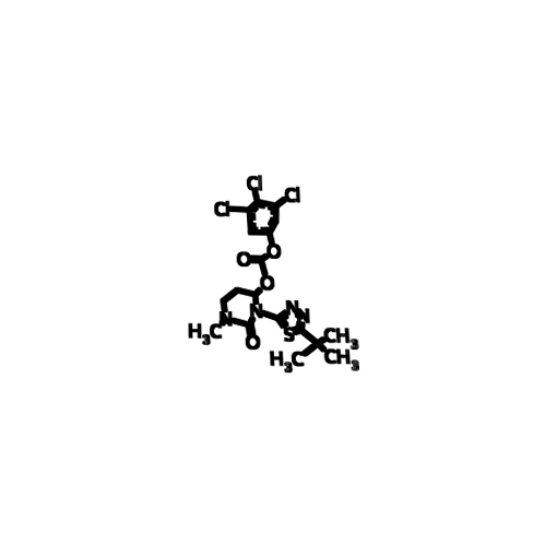 CN1CCC(OC(=O)Oc2cc(Cl)c(Cl)c(Cl)c2)N(c2nnc(C(C)(C)C)s2)C1=O